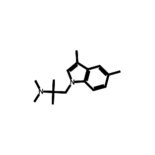 Cc1ccc2c(c1)c(C)cn2CC(C)(C)N(C)C